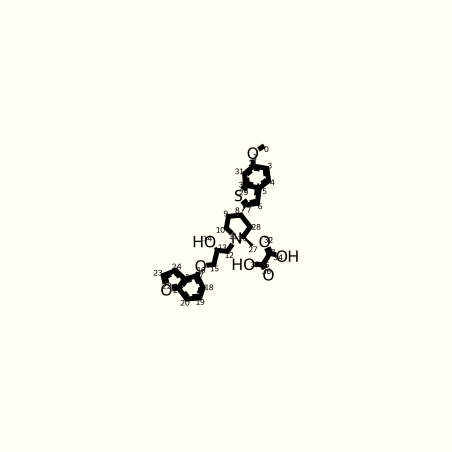 COc1ccc2cc([C@H]3CCN(C[C@H](O)COc4cccc5occc45)[C@H](C)C3)sc2c1.O=C(O)C(=O)O